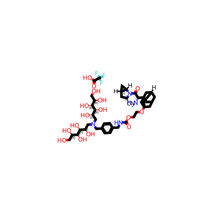 N#C[C@@H]1C[C@@H]2C[C@@H]2N1C(=O)[C@@H](N)C12CC3C[C@H](CC(OCCOC(=O)NCc4ccc(CN(C[C@H](O)[C@@H](O)[C@H](O)[C@H](O)CO)C[C@H](O)[C@@H](O)[C@H](O)[C@H](O)CO)cc4)(C3)C1)C2.O=C(O)C(F)(F)F